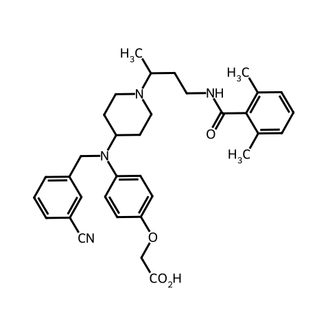 Cc1cccc(C)c1C(=O)NCCC(C)N1CCC(N(Cc2cccc(C#N)c2)c2ccc(OCC(=O)O)cc2)CC1